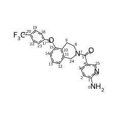 Nc1ccc(C(=O)N2CCc3c(cccc3Oc3ccc(C(F)(F)F)cc3)C2)cn1